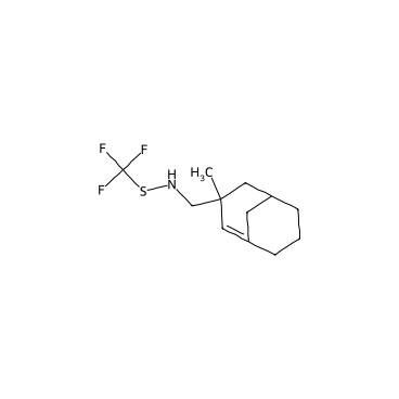 CC1(CNSC(F)(F)F)C=C2CCCC(C2)C1